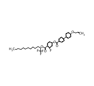 C=CCOc1ccc(-c2ccc(C(=O)Oc3ccc(C(=O)OC(CCCCCCCCCCC)C(F)(F)F)c(F)c3)cc2)cc1